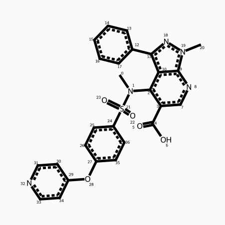 CN(c1c(C(=O)O)cnc2c1c(-c1ccccc1)nn2C)S(=O)(=O)c1ccc(Oc2ccncc2)cc1